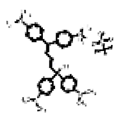 CN(C)c1ccc(C(=C/C=C/C(O)(c2ccc(N(C)C)cc2)c2ccc(N(C)C)cc2)c2ccc(N(C)C)cc2)cc1.O=S(=O)(O)C(F)(F)F